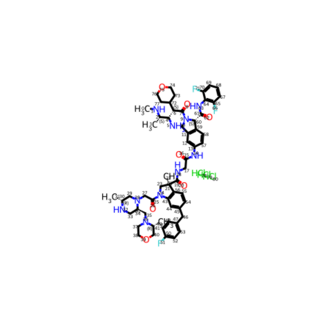 CN[C@@H](C)C(N)[C@@H](C(=O)N1Cc2cc(NC(=O)CNC(=O)[C@]3(C)CN(C(=O)CN4C[C@@H](C)NC[C@@H]4CN4CCOC[C@H]4C)c4cc(Cc5ccc(F)cc5)ccc43)ccc2[C@H]1C(=O)Nc1c(F)cccc1F)C1CCOCC1.Cl.Cl.Cl